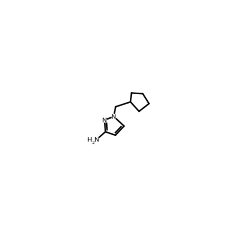 Nc1ccn(CC2CCCC2)n1